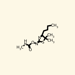 CCCCC1=NC(=NOC(=O)NC)SC1(C)C